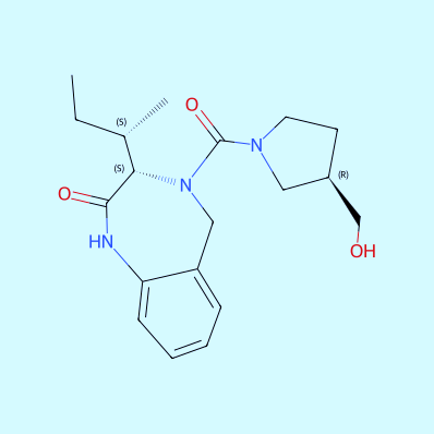 CC[C@H](C)[C@H]1C(=O)Nc2ccccc2CN1C(=O)N1CC[C@@H](CO)C1